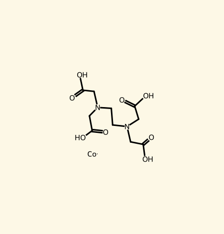 O=C(O)CN(CCN(CC(=O)O)CC(=O)O)CC(=O)O.[Co]